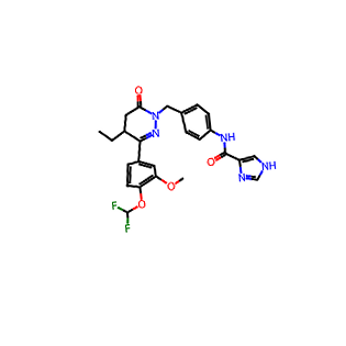 CCC1CC(=O)N(Cc2ccc(NC(=O)c3c[nH]cn3)cc2)N=C1c1ccc(OC(F)F)c(OC)c1